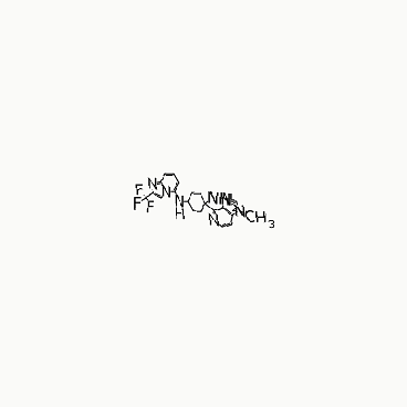 Cn1cnc2c(C3(N)CCC(Nc4cccc5nc(C(F)(F)F)cn45)CC3)nccc21